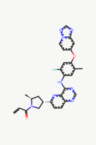 C=CC(=O)N1C[C@@H](c2ccc3ncnc(Nc4cc(C)c(Oc5ccn6ncnc6c5)cc4F)c3n2)C[C@@H]1C